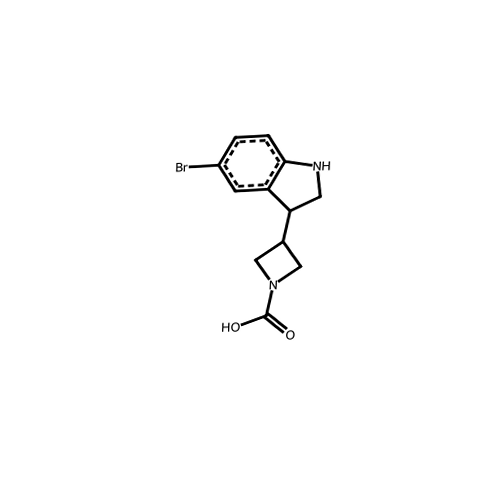 O=C(O)N1CC(C2CNc3ccc(Br)cc32)C1